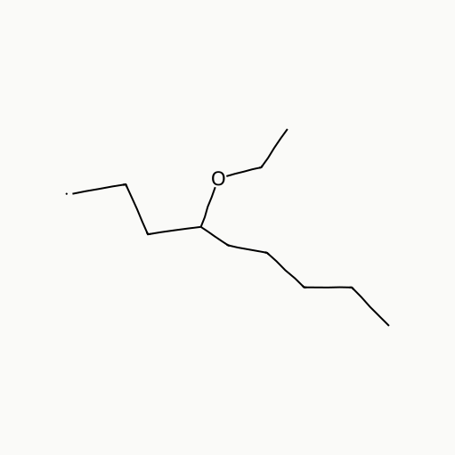 [CH2]CCC(CCCCC)OCC